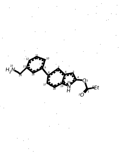 CCC(=O)Oc1cc2cc(-c3cccc(CN)c3)ccc2[nH]1